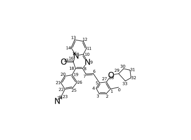 Cc1cccc(/C=C/c2nc3ccccn3c(=O)c2-c2ccc(C#N)cc2)c1OC1CCCC1